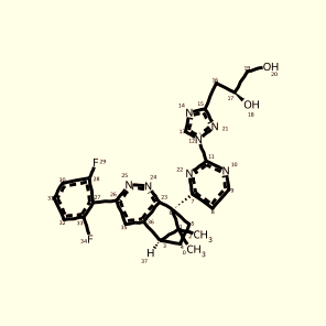 CC1(C)[C@H]2CC[C@]1(c1ccnc(-n3cnc(C[C@H](O)CO)n3)n1)c1nnc(-c3c(F)cccc3F)cc12